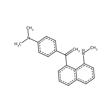 C=C(c1ccc(N(C)C)cc1)c1cccc2cccc(NC)c12